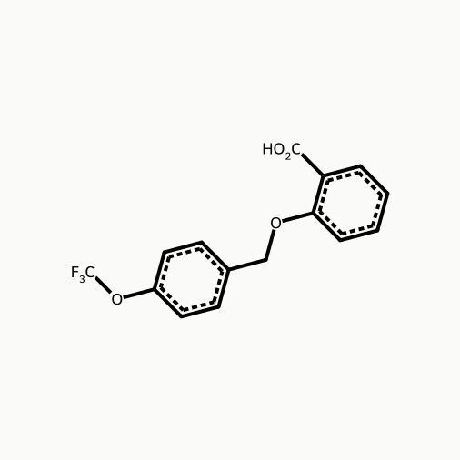 O=C(O)c1ccccc1OCc1ccc(OC(F)(F)F)cc1